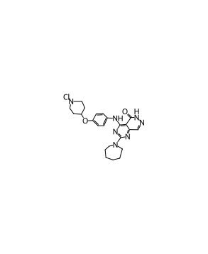 O=c1[nH]ncc2nc(N3CCCCCC3)nc(Nc3ccc(OC4CCN(Cl)CC4)cc3)c12